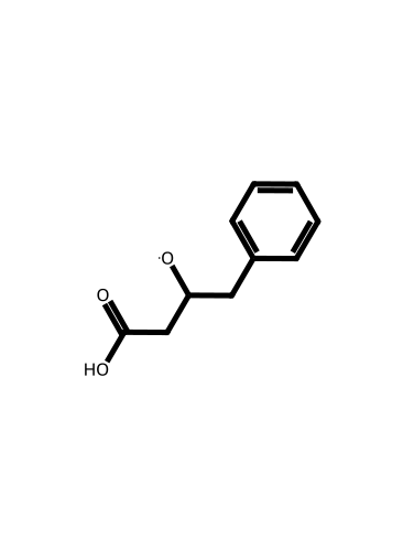 [O]C(CC(=O)O)Cc1ccccc1